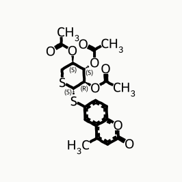 CC(=O)O[C@@H]1[C@@H](OC(C)=O)[C@H](Sc2ccc3oc(=O)cc(C)c3c2)SC[C@H]1OC(C)=O